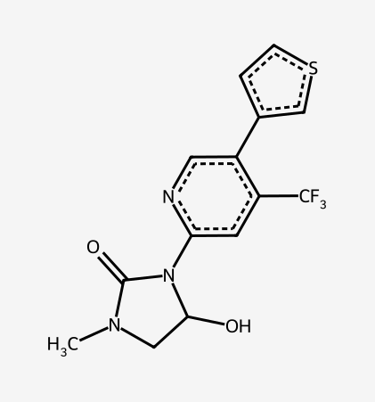 CN1CC(O)N(c2cc(C(F)(F)F)c(-c3ccsc3)cn2)C1=O